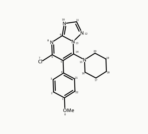 COc1ccc(-c2c(Cl)nc3ncnn3c2N2CCCCC2)cc1